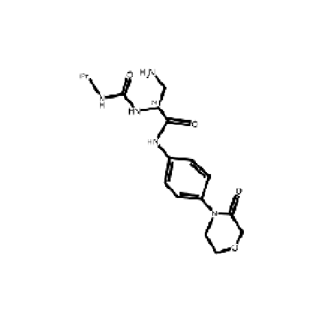 CC(C)NC(=O)N[C@@H](CN)C(=O)Nc1ccc(N2CCOCC2=O)cc1